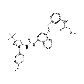 COCC(=O)Nc1cc(COc2ccc(NC(=O)Nc3cc(C(C)(C)C)nn3-c3ccc(OC)cc3)c3cccnc23)ccn1